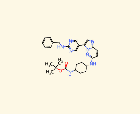 CC(C)(C)OC(=O)N[C@H]1CC[C@H](Nc2ccc3ncc(-c4cnc(NCc5ccccc5)nc4)n3n2)CC1